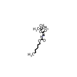 CCCCCCOC(=O)/N=N/C(=O)O[Si](C)(C)C